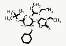 CCOC(OC)OC([C@H](CC1CCCCC1)NC(=O)OC(C)(C)C)[C@@H]1CN(CC)C(=S)O1